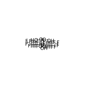 O=P(O)(OC(F)C(F)(F)C(F)(F)C(F)(F)C(F)(F)C(F)C(F)C(F)F)OC(F)C(F)(F)C(F)(F)C(F)(F)C(F)(F)C(F)C(F)C(F)F.OCCONOCCO